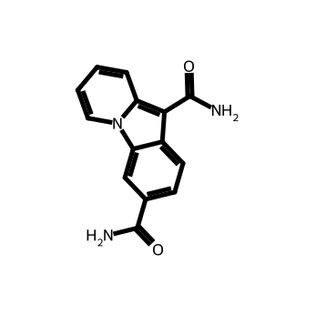 NC(=O)c1ccc2c(C(N)=O)c3ccccn3c2c1